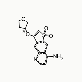 Nc1ccnc2cc3c(cc12)S(=O)(=O)C=C3O[C@H]1CCOC1